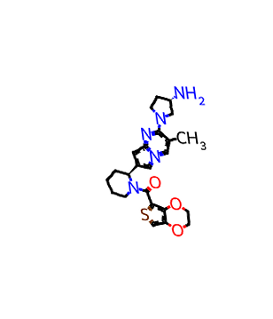 Cc1cn2cc([C@@H]3CCCCN3C(=O)c3scc4c3OCCO4)cc2nc1N1CC[C@H](N)C1